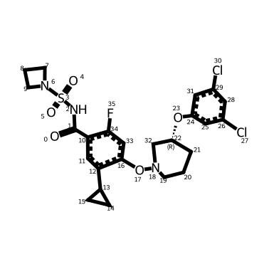 O=C(NS(=O)(=O)N1CCC1)c1cc(C2CC2)c(ON2CCC[C@@H](Oc3cc(Cl)cc(Cl)c3)C2)cc1F